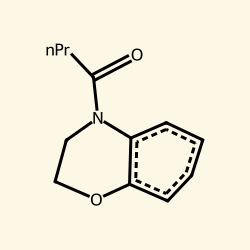 CCCC(=O)N1CCOc2ccccc21